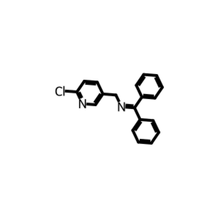 Clc1ccc(CN=C(c2ccccc2)c2ccccc2)cn1